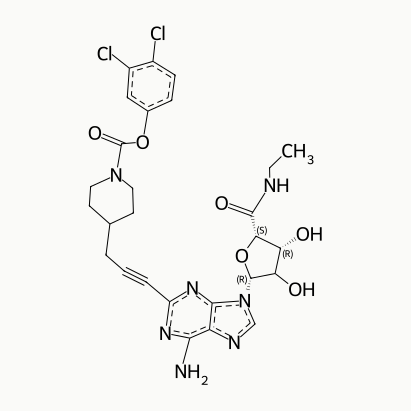 CCNC(=O)[C@H]1O[C@@H](n2cnc3c(N)nc(C#CCC4CCN(C(=O)Oc5ccc(Cl)c(Cl)c5)CC4)nc32)C(O)[C@H]1O